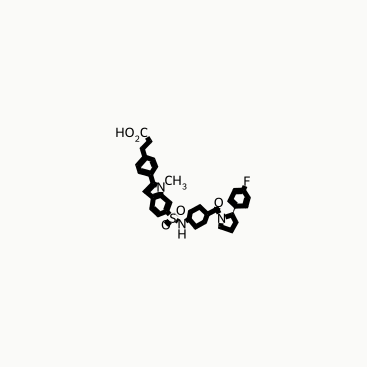 Cn1c(-c2ccc(CCC(=O)O)cc2)cc2ccc(S(=O)(=O)NC3CCC(C(=O)N4CCC[C@H]4c4ccc(F)cc4)CC3)cc21